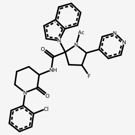 CC(=O)N1C(c2ccnnc2)C(F)CC1(C(=O)NC1CCCN(c2ccccc2Cl)C1=O)n1ccc2ccccc21